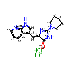 Cl.Cl.O=C1NC(N2CCCCC2)=NC1=Cc1c[nH]c2ncccc12